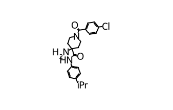 CC(C)c1ccc(NC(=O)C2(N)CCN(C(=O)c3ccc(Cl)cc3)CC2)cc1